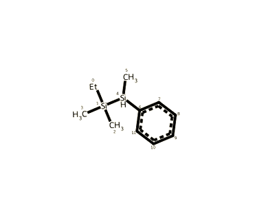 CC[Si](C)(C)[SiH](C)c1ccccc1